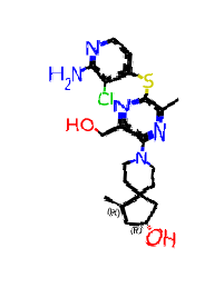 Cc1nc(N2CCC3(CC2)C[C@H](O)C[C@H]3C)c(CO)nc1Sc1ccnc(N)c1Cl